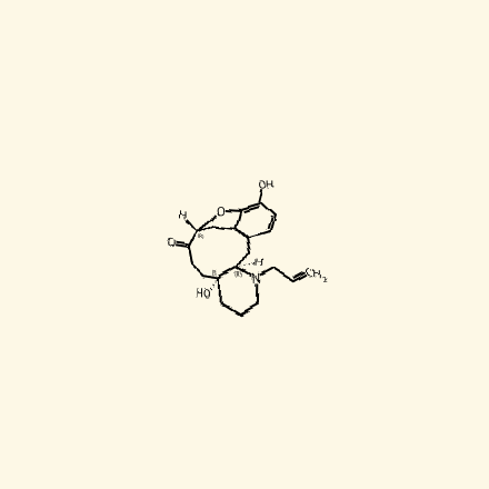 C=CCN1CCC[C@@]2(O)CCC(=O)[C@H]3CC4C(=C(O)C=CC4C[C@@H]12)O3